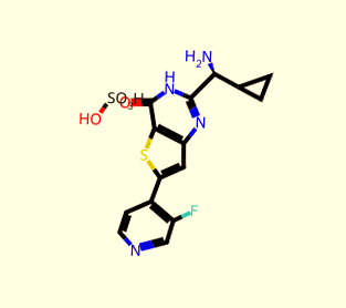 N[C@H](c1nc2cc(-c3ccncc3F)sc2c(=O)[nH]1)C1CC1.O=S(=O)(O)O